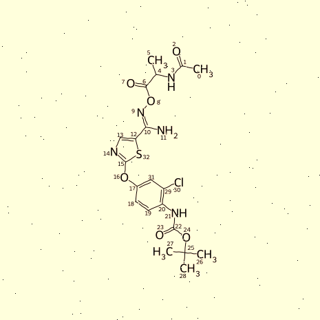 CC(=O)NC(C)C(=O)O/N=C(\N)c1cnc(Oc2ccc(NC(=O)OC(C)(C)C)c(Cl)c2)s1